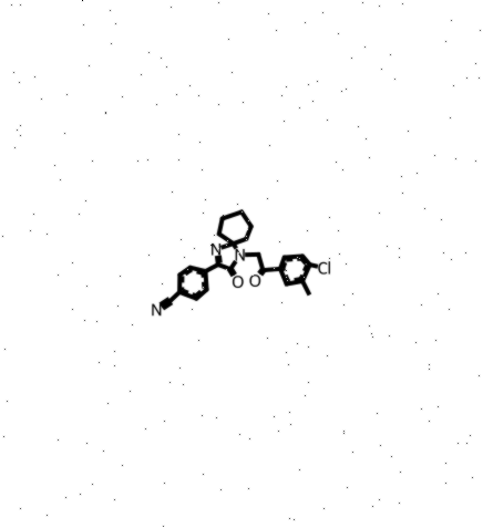 Cc1cc(C(=O)CN2C(=O)C(c3ccc(C#N)cc3)=NC23CCCCC3)ccc1Cl